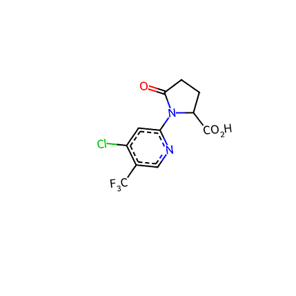 O=C(O)C1CCC(=O)N1c1cc(Cl)c(C(F)(F)F)cn1